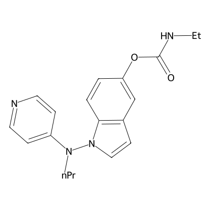 CCCN(c1ccncc1)n1ccc2cc(OC(=O)NCC)ccc21